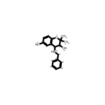 CC1(C)Oc2ccc(C#N)cc2C(NCc2ccccc2)C1O